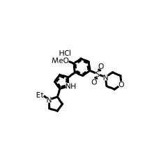 CCN1CCCC1c1ccc(-c2cc(S(=O)(=O)N3CCOCC3)ccc2OC)[nH]1.Cl